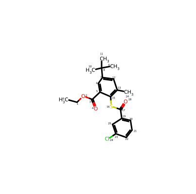 CCOC(=O)c1cc(C(C)(C)C)cc(C)c1SC(=O)c1cccc(Cl)c1